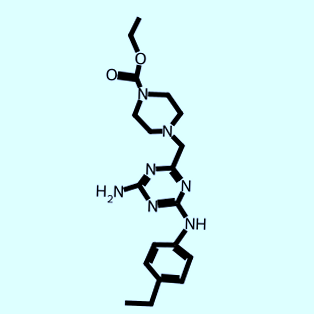 CCOC(=O)N1CCN(Cc2nc(N)nc(Nc3ccc(CC)cc3)n2)CC1